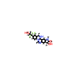 Cc1nc(N[C@H](C)c2cccc(C(F)(F)C(C)(C)O)c2F)c2cc3c(cc2n1)[C@](C)(O)C(=O)N3C